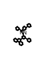 c1ccc(-c2cc(-c3nc(-c4ccccc4)c4ccc(-c5ccccc5)cc4n3)cc(-c3cc4ccccc4c4ccccc34)c2)cc1